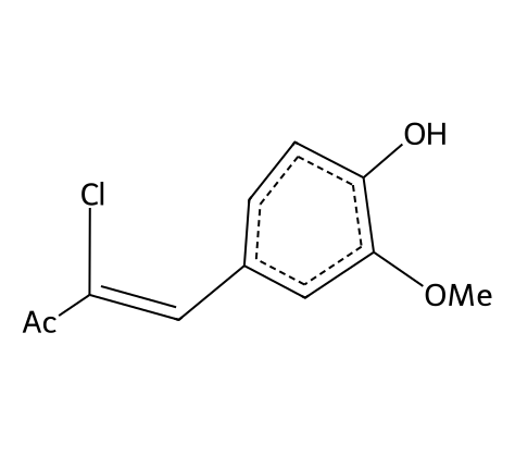 COc1cc(C=C(Cl)C(C)=O)ccc1O